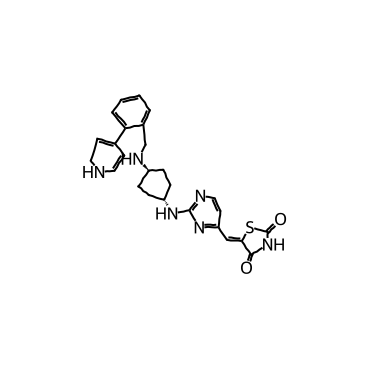 O=C1NC(=O)/C(=C/c2ccnc(N[C@H]3CC[C@H](NCc4ccccc4C4=CCNC=C4)CC3)n2)S1